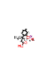 CC(C)(CC(=O)O)c1ccccc1OP=O